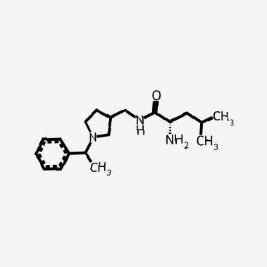 CC(C)C[C@H](N)C(=O)NCC1CCN(C(C)c2ccccc2)C1